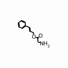 NCC(=O)OCC=Cc1ccccc1